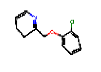 Clc1ccccc1OCC1=NC=CCC1